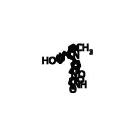 Cn1ccc2c(CN3CCC(O)C3)cc(-c3ccc4c(c3)CN(C3CCC(=O)NC3=O)C4=O)nc21